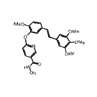 COc1ccc(C=Cc2cc(OC)c(OC)c(OC)c2)cc1Oc1ccc(C(=O)NO)cn1